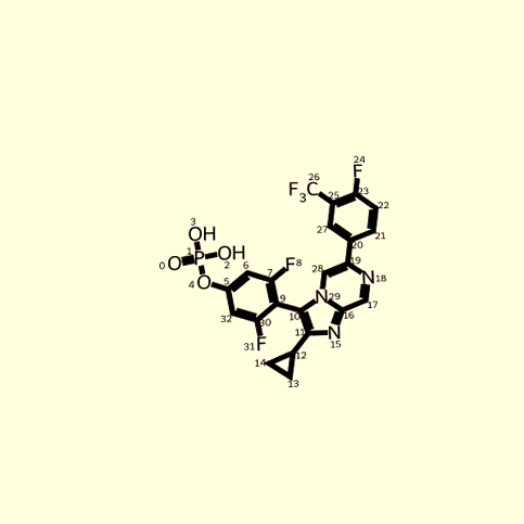 O=P(O)(O)Oc1cc(F)c(-c2c(C3CC3)nc3cnc(-c4ccc(F)c(C(F)(F)F)c4)cn23)c(F)c1